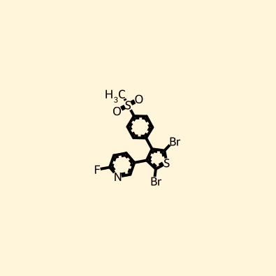 CS(=O)(=O)c1ccc(-c2c(Br)sc(Br)c2-c2ccc(F)nc2)cc1